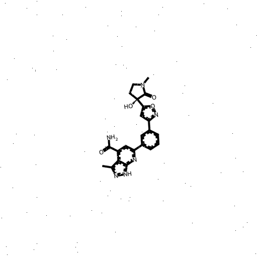 Cc1n[nH]c2nc(-c3cccc(-c4cc([C@]5(O)CCN(C)C5=O)on4)c3)cc(C(N)=O)c12